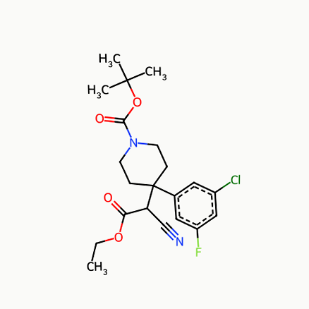 CCOC(=O)C(C#N)C1(c2cc(F)cc(Cl)c2)CCN(C(=O)OC(C)(C)C)CC1